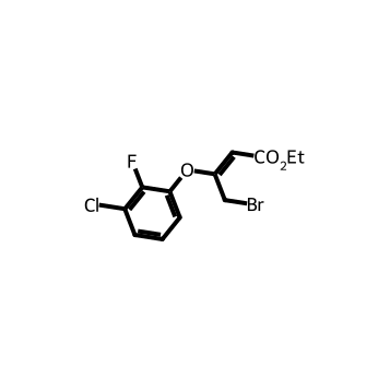 CCOC(=O)C=C(CBr)Oc1cccc(Cl)c1F